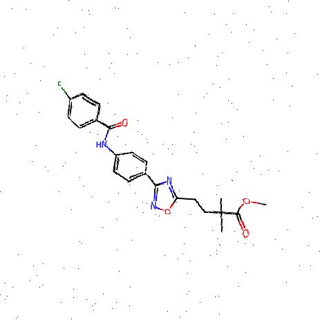 COC(=O)C(C)(C)CCc1nc(-c2ccc(NC(=O)c3ccc(F)cc3)cc2)no1